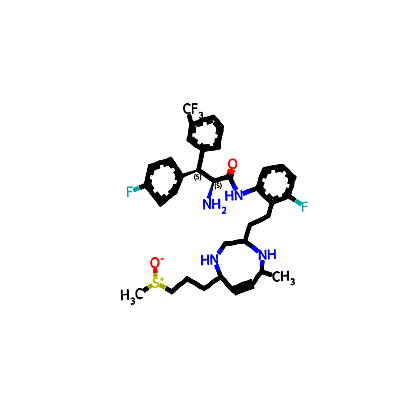 CC1C#CC(CCC[S+](C)[O-])NCC(CCc2c(F)cccc2NC(=O)[C@@H](N)[C@@H](c2ccc(F)cc2)c2cccc(C(F)(F)F)c2)N1